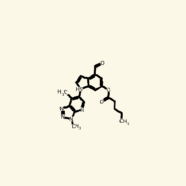 CCCCC(=O)Oc1cc(C=O)c2c(c1)[SH](c1cnc3c(nnn3C)c1C)C=C2